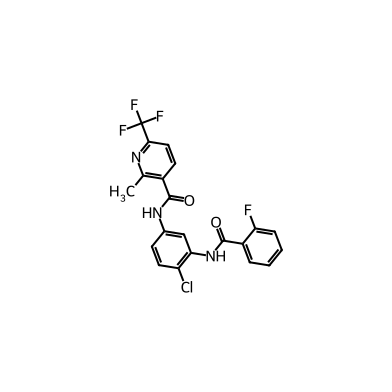 Cc1nc(C(F)(F)F)ccc1C(=O)Nc1ccc(Cl)c(NC(=O)c2ccccc2F)c1